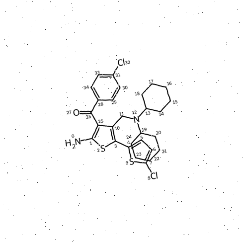 Nc1sc(-c2ccc(Cl)s2)c(CN(C2CCCCC2)C2CCCCC2)c1C(=O)c1ccc(Cl)cc1